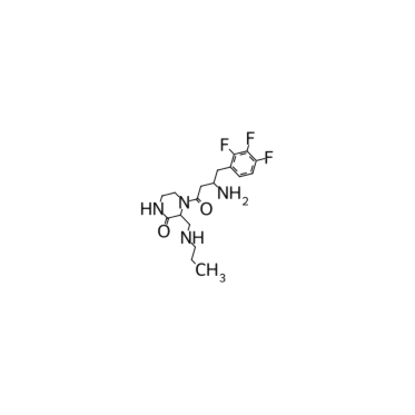 CCCNCC1C(=O)NCCN1C(=O)CC(N)Cc1ccc(F)c(F)c1F